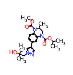 COC(=O)N1c2ccc(-c3cnn(CC(C)(C)O)c3)cc2N(C(=O)OC(C)C)C[C@@H]1C